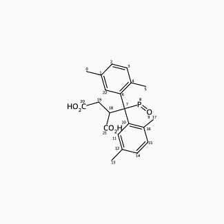 Cc1ccc(C)c(C(P=O)(c2cc(C)ccc2C)C(CC(=O)O)C(=O)O)c1